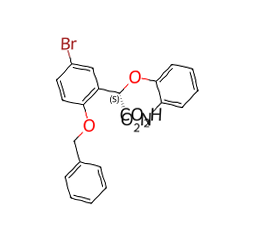 O=C(O)[C@@H](Oc1ccccc1[N+](=O)[O-])c1cc(Br)ccc1OCc1ccccc1